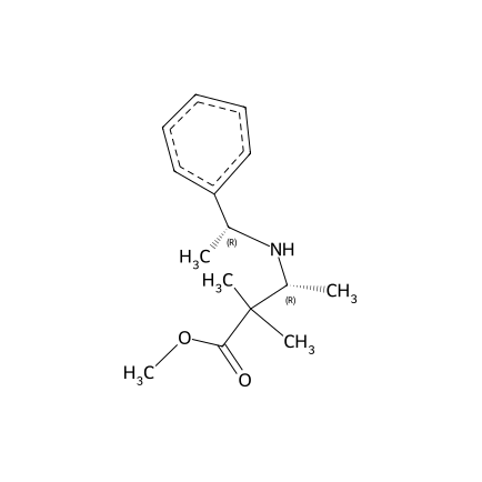 COC(=O)C(C)(C)[C@@H](C)N[C@H](C)c1ccccc1